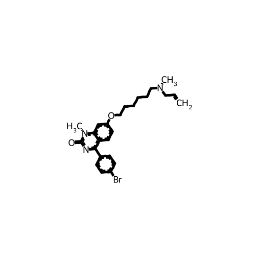 C=CCN(C)CCCCCCOc1ccc2c(-c3ccc(Br)cc3)nc(=O)n(C)c2c1